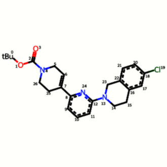 CC(C)(C)OC(=O)N1CC=C(c2cccc(N3CCc4cc(Cl)ccc4C3)n2)CC1